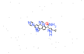 CN1C=CN(c2cc(-c3cnccn3)c3c(-c4ccc(C(C(N)=O)c5cc(C6CC6)[nH]n5)cc4)cnn3c2)C=C1